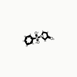 O=C1[CH]CN(S(=O)(=O)c2ccccc2)C1